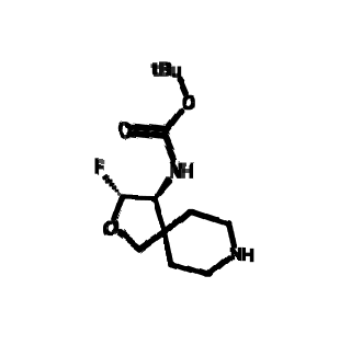 CC(C)(C)OC(=O)N[C@@H]1[C@@H](F)OCC12CCNCC2